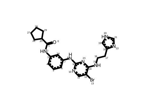 O=C(Nc1cccc(Nc2ncc(Br)c(NCCc3c[nH]cn3)n2)c1)C1CCCC1